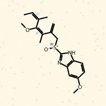 C=C(C[S@+]([O-])c1nc2cc(OC)ccc2[nH]1)/C(C)=C(OC)\C(C)=C/C